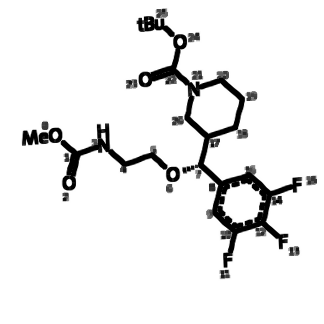 COC(=O)NCCO[C@@H](c1cc(F)c(F)c(F)c1)C1CCCN(C(=O)OC(C)(C)C)C1